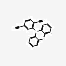 N#Cc1ccc(C#N)c(N2c3ccccc3Nc3ccccc32)c1